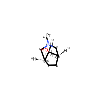 CC(C)N1C[C@H]2CC[C@@H](C1)[C@@H]2O